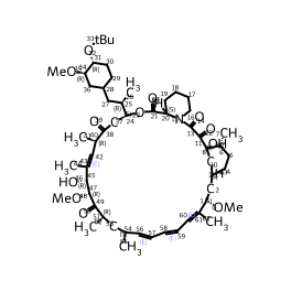 CO[C@H]1C[C@@H]2CC[C@@H](C)[C@@](O)(C2)C(=O)C(=O)N2CCCC[C@H]2C(=O)O[C@H]([C@H](C)CC2CC[C@@H](OC(C)(C)C)[C@H](OC)C2)CC(=O)[C@H](C)/C=C(\C)[C@@H](O)[C@@H](OC)C(=O)[C@H](C)C[C@H](C)/C=C/C=C/C=C/1C